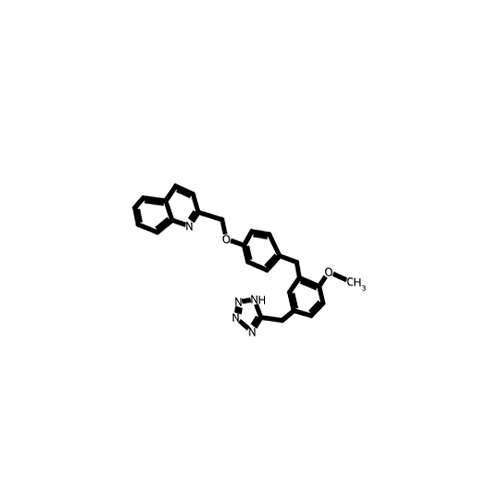 COc1ccc(Cc2nnn[nH]2)cc1Cc1ccc(OCc2ccc3ccccc3n2)cc1